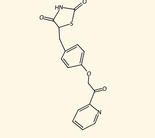 O=C1NC(=O)C(Cc2ccc(OCC(=O)c3ccccn3)cc2)S1